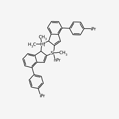 CCC[Si]1(C)C2=Cc3c(-c4ccc(C(C)C)cc4)cccc3[CH]2[Hf]([CH3])([CH3])[CH]2C1=Cc1c(-c3ccc(C(C)C)cc3)cccc12